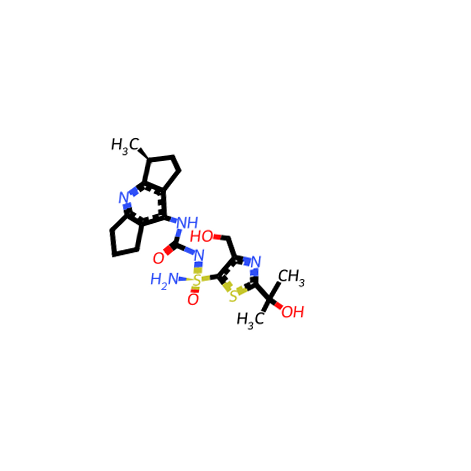 C[C@H]1CCc2c1nc1c(c2NC(=O)N=[S@@](N)(=O)c2sc(C(C)(C)O)nc2CO)CCC1